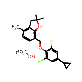 CC1(C)Cc2c(C(F)(F)F)ccc(COc3c(F)cc(C4CC4)cc3F)c2O1.O=C(O)O